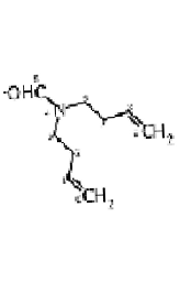 C=CCCN([C]=O)CCC=C